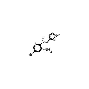 Cn1ccc(CNc2ncc(Br)cc2N)n1